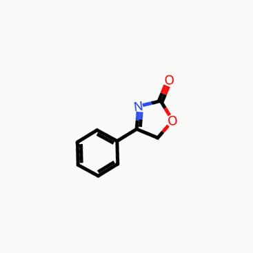 O=C1N=C(c2ccccc2)CO1